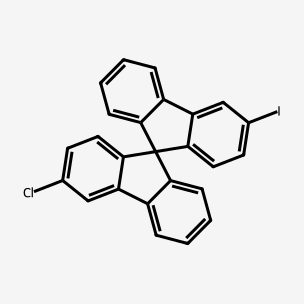 Clc1ccc2c(c1)-c1ccccc1C21c2ccccc2-c2cc(I)ccc21